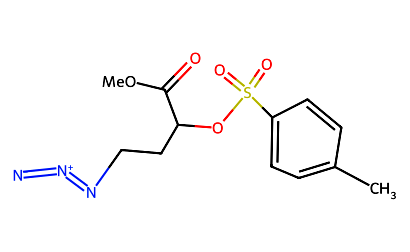 COC(=O)C(CCN=[N+]=[N-])OS(=O)(=O)c1ccc(C)cc1